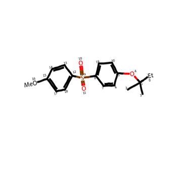 CCC(C)(C)Oc1ccc(S(=O)(=O)c2ccc(OC)cc2)cc1